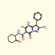 Cc1[nH]c2c(-c3ccccc3)c(C(F)(F)F)nn2c(=O)c1C(=O)NC1CCCCC1=O